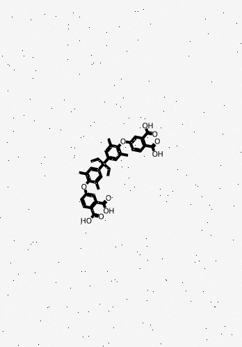 CCC(CC)(c1cc(C)c(Oc2ccc(C(=O)O)c(C(=O)O)c2)c(C)c1)c1cc(C)c(Oc2ccc(C(=O)O)c(C(=O)O)c2)c(C)c1